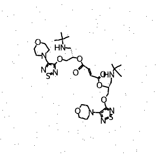 CC(C)(C)NC[C@@H](COc1nsnc1N1CCOCC1)OC(=O)/C=C/C(=O)O[C@@H](CNC(C)(C)C)COc1nsnc1N1CCOCC1